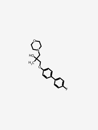 CC(O)(COc1ccc(-c2ccc(F)cc2)cc1)CN1CCOCC1